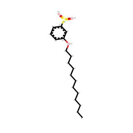 CCCCCCCCCCCCOc1cccc([SH](=O)=O)c1